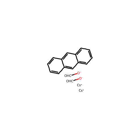 O=C[O-].O=C[O-].[Cs+].[Cs+].c1ccc2cc3ccccc3cc2c1